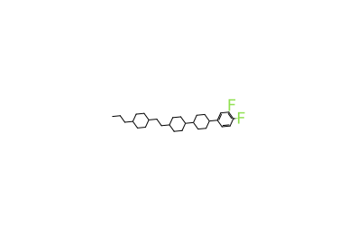 CCCC1CCC(CCC2CCC(C3CCC(c4ccc(F)c(F)c4)CC3)CC2)CC1